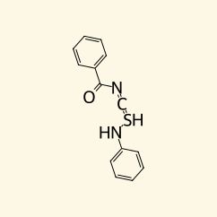 O=C(N=C=[SH]Nc1ccccc1)c1ccccc1